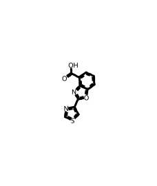 O=C(O)c1cccc2oc(-c3cscn3)nc12